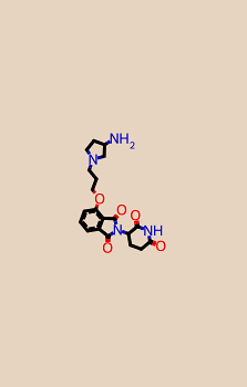 NC1CCN(CCCOc2cccc3c2C(=O)N(C2CCC(=O)NC2=O)C3=O)C1